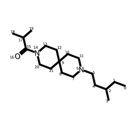 CCC(C)CCN1CCC2(CC1)CCN(C(=O)C(C)C)CC2